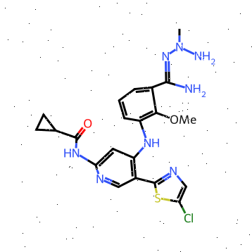 COc1c(Nc2cc(NC(=O)C3CC3)ncc2-c2ncc(Cl)s2)cccc1/C(N)=N/N(C)N